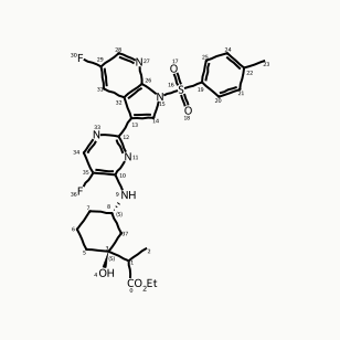 CCOC(=O)C(C)[C@]1(O)CCC[C@H](Nc2nc(-c3cn(S(=O)(=O)c4ccc(C)cc4)c4ncc(F)cc34)ncc2F)C1